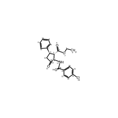 CCOC(=O)[C@H]1[C@H](c2ccccc2)CC(=O)N1NC(=O)c1ccc(Cl)cc1